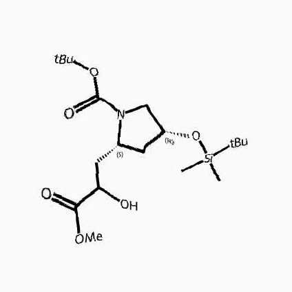 COC(=O)C(O)C[C@H]1C[C@@H](O[Si](C)(C)C(C)(C)C)CN1C(=O)OC(C)(C)C